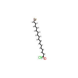 O=C(Cl)CCCCCCCCCCCCCCCCBr